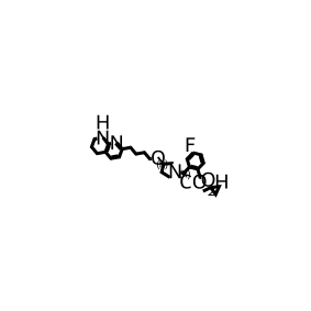 CC1(OCc2ccc(F)cc2[C@H](C(=O)O)N2CC[C@@H](OCCCCc3ccc4c(n3)NCCC4)C2)CC1